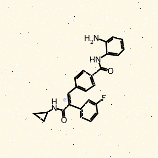 Nc1ccccc1NC(=O)c1ccc(/C=C(/C(=O)NC2CC2)c2cccc(F)c2)cc1